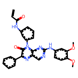 C=CC(=O)Nc1cccc(-n2c(=O)c(-c3ccccc3)nc3cnc(Nc4ccc(OC)c(OC)c4)nc32)c1